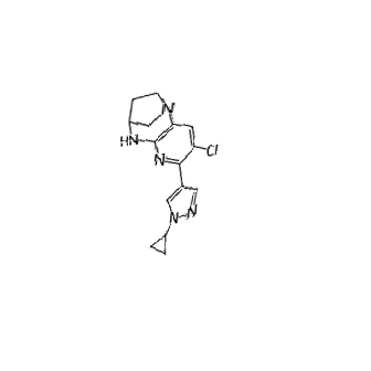 Clc1cc2c(nc1-c1cnn(C3CC3)c1)NC1CCN2C1